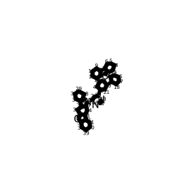 O=S12(c3ccccc3-c3ccccc31)c1ccccc1-c1cc(-c3cc(-n4c5ccccc5c5cc6oc7ccccc7c6cc54)ncn3)ccc12